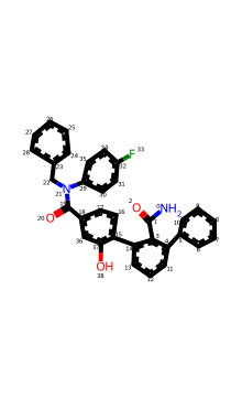 NC(=O)c1c(-c2ccccc2)cccc1-c1ccc(C(=O)N(Cc2ccccc2)c2ccc(F)cc2)cc1O